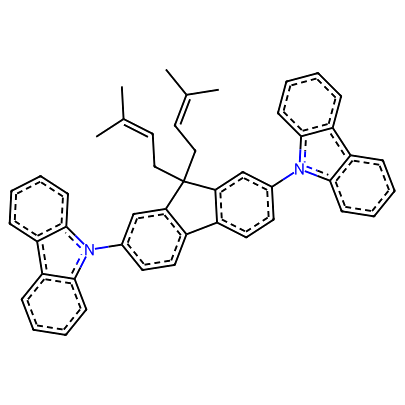 CC(C)=CCC1(CC=C(C)C)c2cc(-n3c4ccccc4c4ccccc43)ccc2-c2ccc(-n3c4ccccc4c4ccccc43)cc21